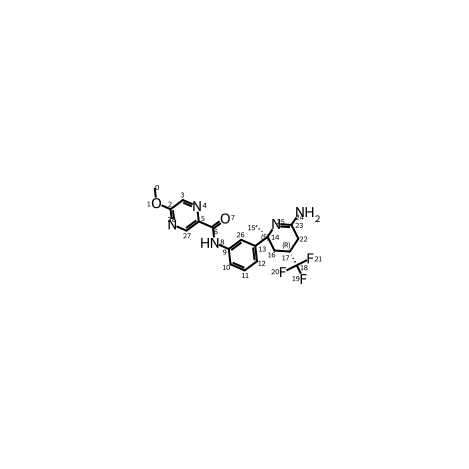 COc1cnc(C(=O)Nc2cccc([C@]3(C)C[C@@H](C(F)(F)F)CC(N)=N3)c2)cn1